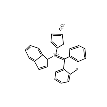 Fc1ccccc1[C](c1ccccc1)=[Ti+2]([C]1=CC=CC1)[CH]1C=Cc2ccccc21.[Cl-].[Cl-]